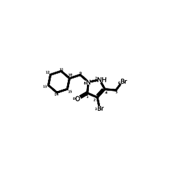 O=c1c(Br)c(CBr)[nH]n1CC1CCCCC1